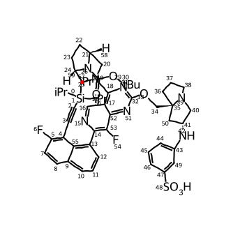 CC(C)[Si](C#Cc1c(F)ccc2cccc(-c3ncc4c(N5C[C@H]6CC[C@@H](C5)N6C(=O)OC(C)(C)C)nc(OC[C@@]56CCCN5C[C@H](Nc5cccc(S(=O)(=O)O)c5)C6)nc4c3F)c12)(C(C)C)C(C)C